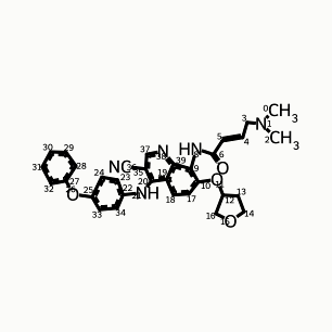 CN(C)C/C=C/C(=O)Nc1c(OC2CCOC2)ccc2c(Nc3ccc(Oc4ccccc4)cc3)c(C#N)cnc12